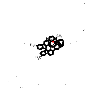 CCC1(CC)c2ccc(cc2-c2nccc3ccccc23)-c2cc1c1c(c2)c2cccc3c2n1-c1ccccc1C3(c1ccc(C)cc1)c1ccc(C)cc1